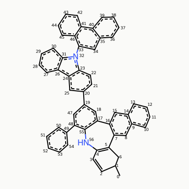 CC1C=CC2=C(C1)c1cc3ccccc3cc1-c1cc(-c3ccc4c(c3)c3ccccc3n4-c3cc4ccccc4c4ccccc34)cc(-c3ccccc3)c1N2